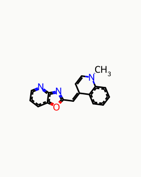 CN1C=CC(=Cc2nc3ncccc3o2)c2ccccc21